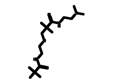 CN(C)CCNC(=O)C(C)(C)COCCNC(=O)C(C)(C)C